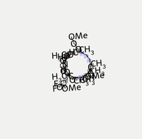 COCCOCCO[C@@H]1C[C@@H]2CC[C@@H](C)[C@@](O)(O2)C(=O)C(=O)N2CCCC[C@H]2C(=O)O[C@H]([C@H](C)C[C@@H]2CC[C@@H](OC(F)F)[C@H](OC)C2)CC(=O)[C@H](C)/C=C(\C)[C@@H](O)[C@@H](OC)C(=O)[C@H](C)C[C@H](C)/C=C/C=C/C=C/1C